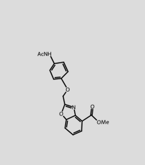 COC(=O)c1cccc2oc(COc3ccc(NC(C)=O)cc3)nc12